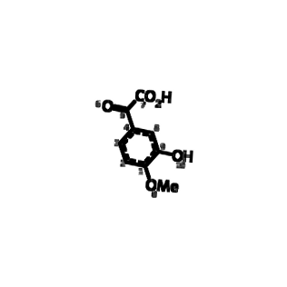 COc1ccc(C(=O)C(=O)O)cc1O